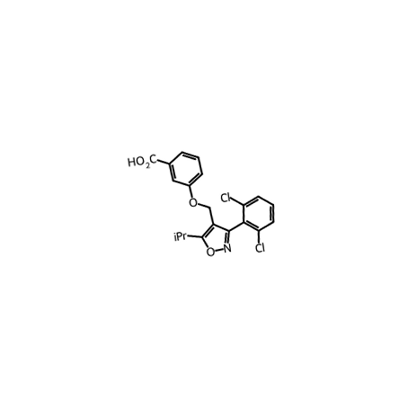 CC(C)c1onc(-c2c(Cl)cccc2Cl)c1COc1cccc(C(=O)O)c1